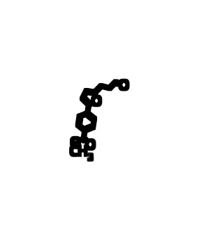 COC(=O)c1ccc(-c2ccc(CCC=O)o2)cc1